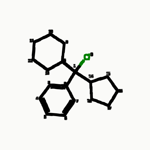 ClC(c1ccccc1)(C1CCCCC1)C1CCCC1